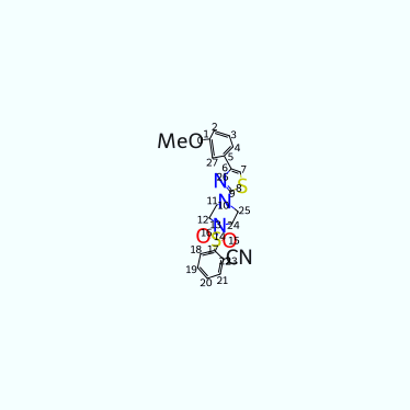 COc1cccc(-c2csc(N3CCN(S(=O)(=O)c4ccccc4C#N)CC3)n2)c1